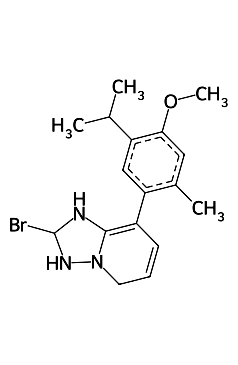 COc1cc(C)c(C2=C3NC(Br)NN3CC=C2)cc1C(C)C